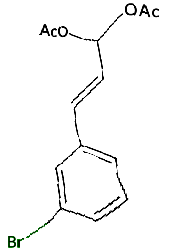 CC(=O)OC(C=Cc1cccc(Br)c1)OC(C)=O